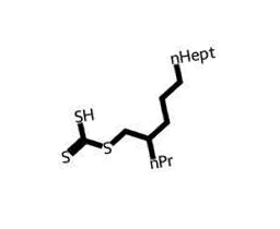 CCCCCCCCCCC(CCC)CSC(=S)S